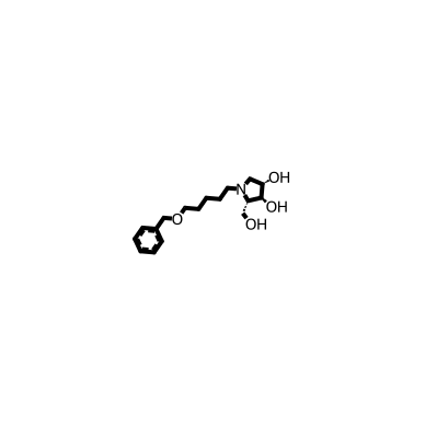 OC[C@H]1[C@H](O)[C@@H](O)CN1CCCCCOCc1ccccc1